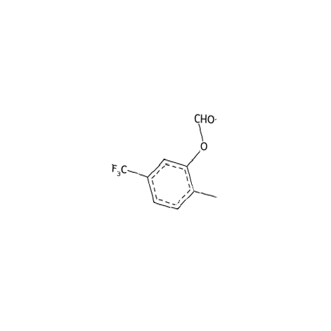 Cc1ccc(C(F)(F)F)cc1O[C]=O